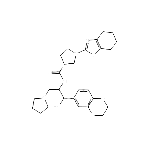 O=C(NC(CN1CCCC1)C(O)c1ccc2c(c1)OCCO2)[C@H]1CCN(c2nc3c(s2)CCCC3)C1